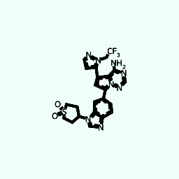 Nc1ncnn2c(-c3ccc4ncn(C5CCS(=O)(=O)CC5)c4c3)cc(-c3ccnn3CC(F)(F)F)c12